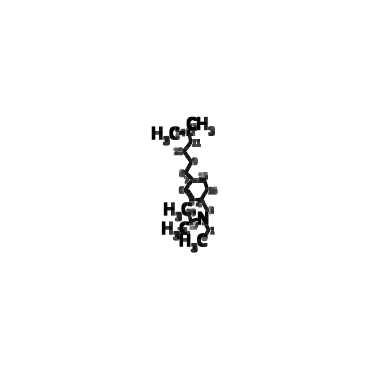 CCN(CC1C=CC(CCCCC(C)C)=CC1)C(C)C